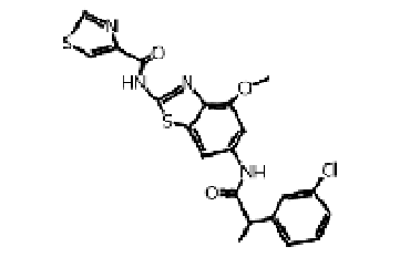 COc1cc(NC(=O)C(C)c2cccc(Cl)c2)cc2sc(NC(=O)c3cscn3)nc12